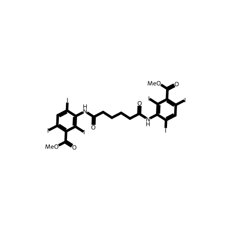 COC(=O)c1c(I)cc(I)c(NC(=O)CCCCC(=O)Nc2c(I)cc(I)c(C(=O)OC)c2I)c1I